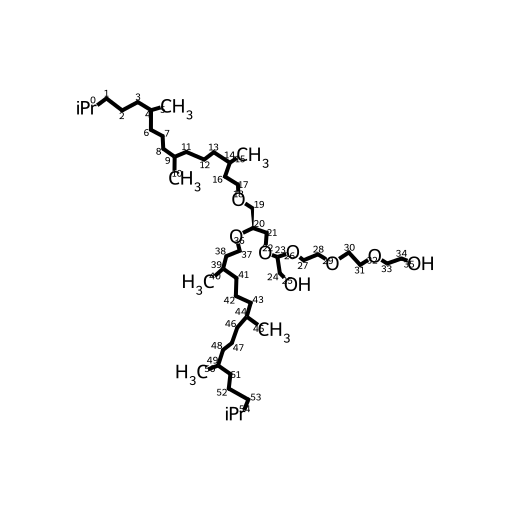 CC(C)CCCC(C)CCCC(C)CCCC(C)CCOC[C@@H](COC(CO)OCCOCCOCCO)OCCC(C)CCCC(C)CCCC(C)CCCC(C)C